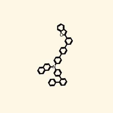 c1ccc(-c2ccccc2-c2ccc(N(c3ccc(-c4ccc(-c5cccc(-c6cc7ccccc7o6)c5)cc4)cc3)c3ccc4ccccc4c3)cc2)cc1